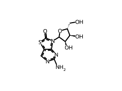 Nc1ncc2sc(=O)n(C3O[C@H](CO)[C@@H](O)[C@H]3O)c2n1